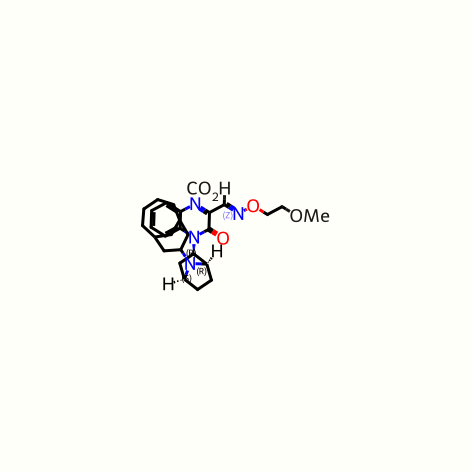 COCCO/N=C(\C(=O)O)c1nc2ccccc2n([C@@H]2C[C@@H]3CC[C@H]2N3C2CC3CCCCC(C3)C2)c1=O